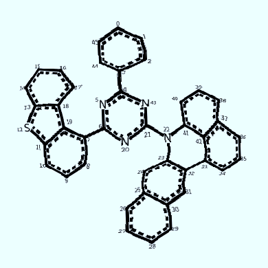 c1ccc(-c2nc(-c3cccc4sc5ccccc5c34)nc(N3c4cc5ccccc5cc4-c4cccc5cccc3c45)n2)cc1